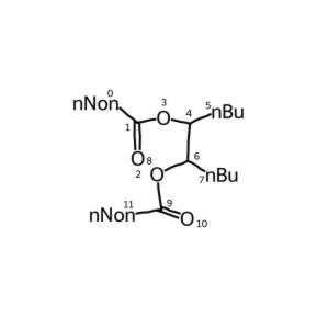 CCCCCCCCCC(=O)OC(CCCC)C(CCCC)OC(=O)CCCCCCCCC